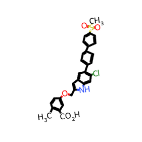 Cc1ccc(OCc2cc3cc(-c4ccc(-c5ccc(S(C)(=O)=O)cc5)cc4)c(Cl)cc3[nH]2)cc1C(=O)O